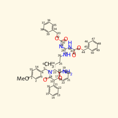 COc1ccc([C@H](C)N(C(=O)C(c2ccccc2)c2ccccc2)[C@H](CCCNC(=NC(=O)OCc2ccccc2)NC(=O)OCc2ccccc2)C(N)=O)cc1